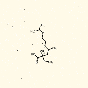 CCC(C)(CC(C)OCCOC(C)C)C(=O)O